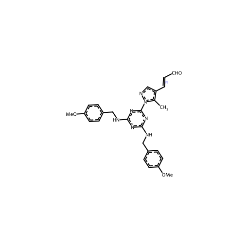 COc1ccc(CNc2nc(NCc3ccc(OC)cc3)nc(-n3ncc(/C=C/C=O)c3C)n2)cc1